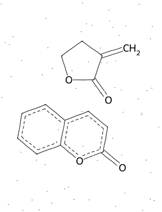 C=C1CCOC1=O.O=c1ccc2ccccc2o1